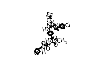 COC(=O)[C@H](CNC(=O)C(=O)NCC1CCOCC1)NC(=O)c1ccc(Nc2nc(NC3(c4ccc(Cl)cc4)CC3)nc(OCC(F)(F)F)n2)cc1